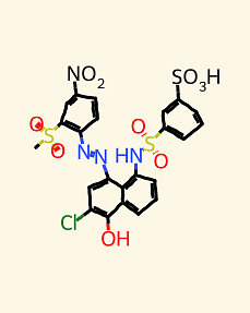 CS(=O)(=O)c1cc([N+](=O)[O-])ccc1N=Nc1cc(Cl)c(O)c2cccc(NS(=O)(=O)c3cccc(S(=O)(=O)O)c3)c12